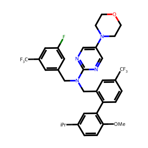 COc1ccc(C(C)C)cc1-c1ccc(C(F)(F)F)cc1CN(Cc1cc(F)cc(C(F)(F)F)c1)c1ncc(N2CCOCC2)cn1